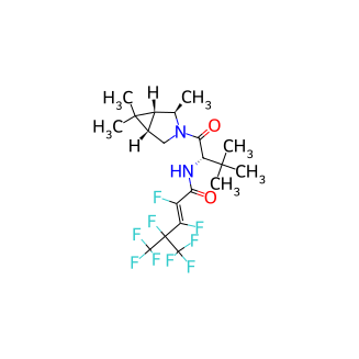 C[C@@H]1[C@@H]2[C@H](CN1C(=O)[C@@H](NC(=O)/C(F)=C(\F)C(F)(C(F)(F)F)C(F)(F)F)C(C)(C)C)C2(C)C